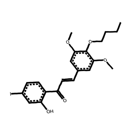 CCCCOc1c(OC)cc(/C=C/C(=O)c2ccc(I)cc2O)cc1OC